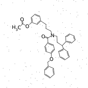 CC(=O)Oc1cccc(CCCN(CCC(c2ccccc2)c2ccccc2)C(=O)c2ccc(OCc3ccccc3)cc2)c1